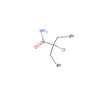 CC(C)CC(Cl)(CC(C)C)C(N)=O